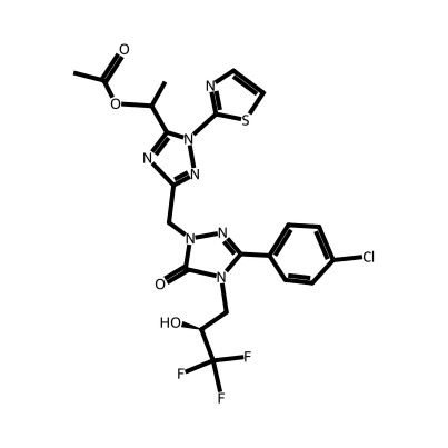 CC(=O)OC(C)c1nc(Cn2nc(-c3ccc(Cl)cc3)n(C[C@H](O)C(F)(F)F)c2=O)nn1-c1nccs1